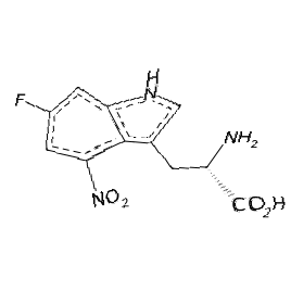 N[C@@H](Cc1c[nH]c2cc(F)cc([N+](=O)[O-])c12)C(=O)O